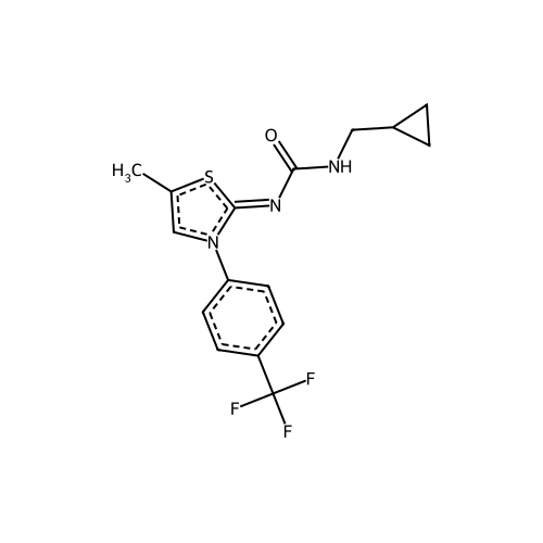 Cc1cn(-c2ccc(C(F)(F)F)cc2)c(=NC(=O)NCC2CC2)s1